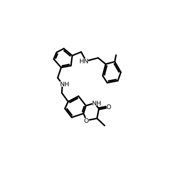 Cc1ccccc1CNCc1cccc(CNCc2ccc3c(c2)NC(=O)C(C)O3)c1